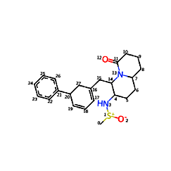 C[S+]([O-])NC1CCC2CCCC(=O)N2C1CC1=CC=CC(c2ccccc2)C1